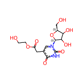 O=C(Cc1cn([C@H]2O[C@@H](CO)C(O)C2O)c(=O)[nH]c1=O)OCCO